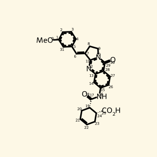 COc1cccc(C=C2CCn3c2nc2cc(NC(=O)[C@H]4CC=CC[C@H]4C(=O)O)ccc2c3=O)c1